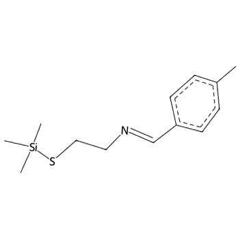 Cc1ccc(/C=N/CCS[Si](C)(C)C)cc1